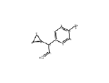 O=CC(c1ccc(Br)cc1)C1CC1